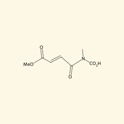 COC(=O)C=CC(=O)N(C)C(=O)O